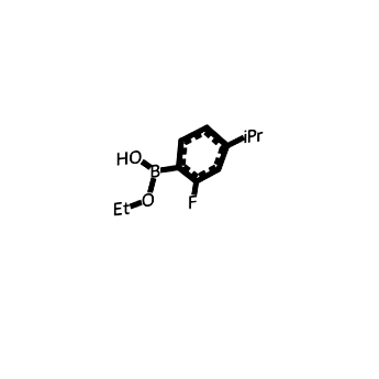 CCOB(O)c1ccc(C(C)C)cc1F